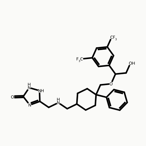 O=c1nc(CNCC2CCC(COC(CO)c3cc(C(F)(F)F)cc(C(F)(F)F)c3)(c3ccccc3)CC2)[nH][nH]1